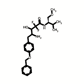 COC[C@H](NC(=O)C(F)(F)C(O)C(N)Cc1ccc(OCc2ccccc2)cc1)C(C)C